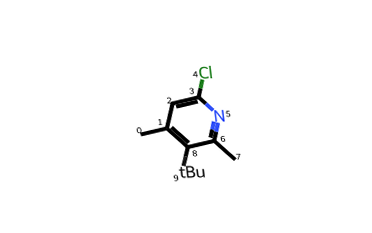 Cc1cc(Cl)nc(C)c1C(C)(C)C